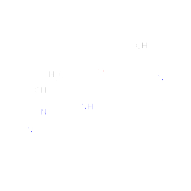 [CH2]C(Nc1ccnn1C)Oc1cccnc1C